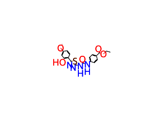 CCOC(=O)c1ccc(NC(=O)Nc2nnc(-c3ccc(OC)cc3O)s2)cc1